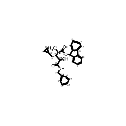 CN(C(=O)OC1c2ccccc2-c2ccccc21)[C@@H](CC1CC1)C(O)C(=O)NCc1ccccc1